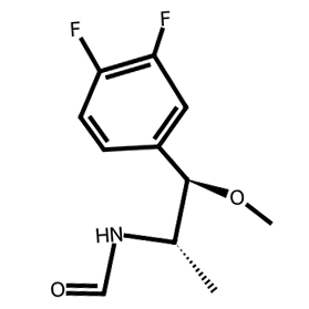 CO[C@H](c1ccc(F)c(F)c1)[C@H](C)NC=O